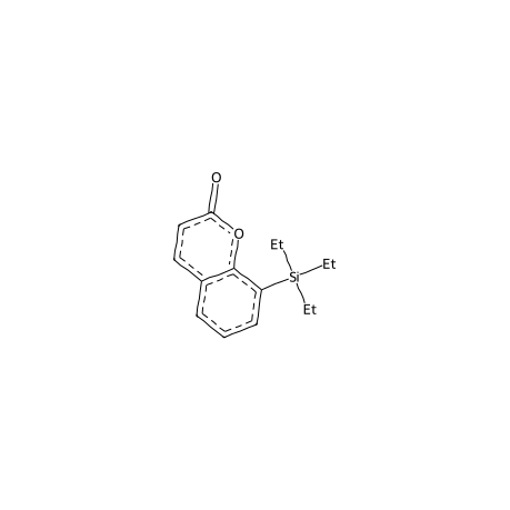 CC[Si](CC)(CC)c1cccc2ccc(=O)oc12